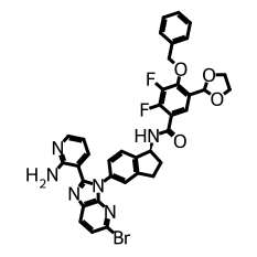 Nc1ncccc1-c1nc2ccc(Br)nc2n1-c1ccc2c(c1)CC[C@@H]2NC(=O)c1cc(C2OCCO2)c(OCc2ccccc2)c(F)c1F